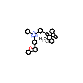 CC1(C)c2ccccc2C2(c3ccccc3-c3ccccc32)c2ccc(-c3cccc(-c4nc(-c5ccccc5)nc(-c5ccc(-c6cccc7c6oc6ccccc67)cc5)n4)c3)cc21